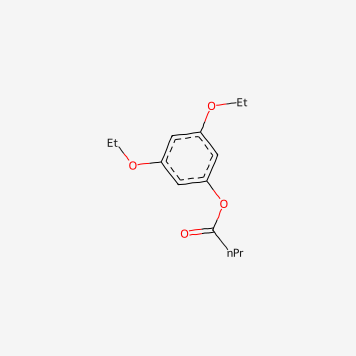 [CH2]CCC(=O)Oc1cc(OCC)cc(OCC)c1